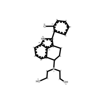 OCCN(CCO)C1CCc2c(-c3ccccc3Cl)[nH]c3cccc1c23